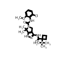 COc1cccc(Cl)c1NC(=O)N1Cc2c(NC(=O)C3(S(C)(C)C)CCC3)n[nH]c2C1(C)C